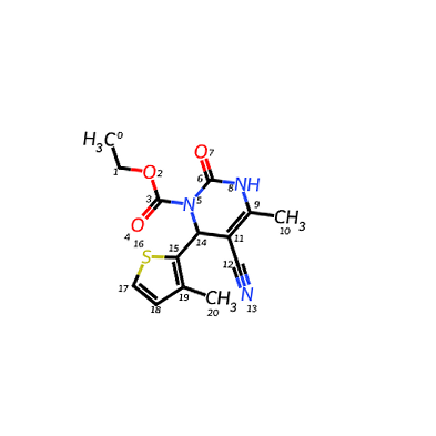 CCOC(=O)N1C(=O)NC(C)=C(C#N)C1c1sccc1C